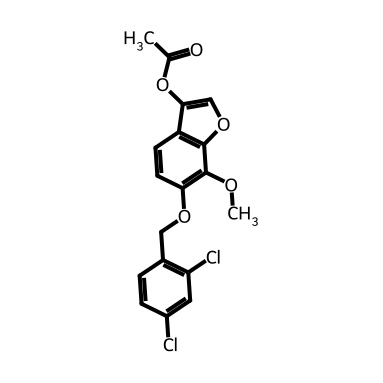 COc1c(OCc2ccc(Cl)cc2Cl)ccc2c(OC(C)=O)coc12